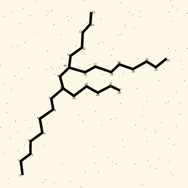 CCCCCCCCC([CH]C(CCCCC)CCCCCCCC)CCCCC